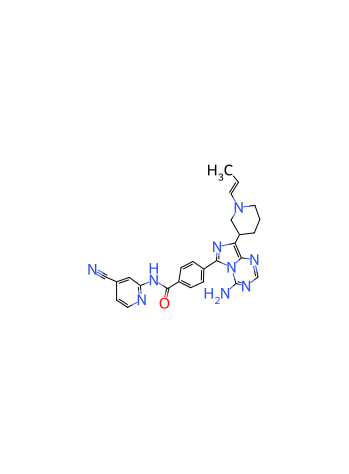 CC=CN1CCCC(c2nc(-c3ccc(C(=O)Nc4cc(C#N)ccn4)cc3)n3c(N)ncnc23)C1